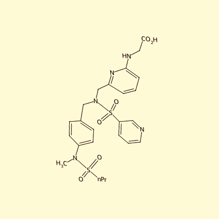 CCCS(=O)(=O)N(C)c1ccc(CN(Cc2cccc(NCC(=O)O)n2)S(=O)(=O)c2cccnc2)cc1